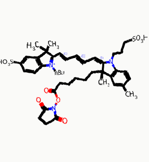 CCCC[N+]1=C(/C=C/C=C/C=C2/N(CCCS(=O)(=O)O)c3ccc(C)cc3C2(C)CCCCCC(=O)ON2C(=O)CCC2=O)C(C)(C)c2cc(S(=O)(=O)O)ccc21